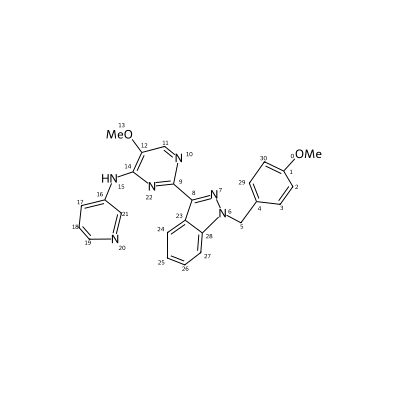 COc1ccc(Cn2nc(-c3ncc(OC)c(Nc4cccnc4)n3)c3ccccc32)cc1